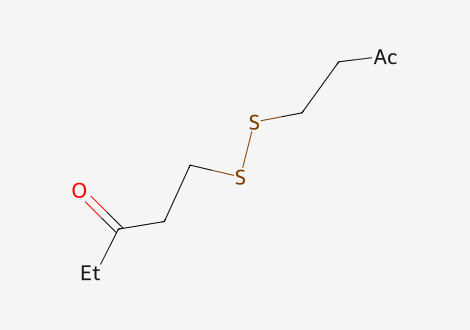 CCC(=O)CCSSCCC(C)=O